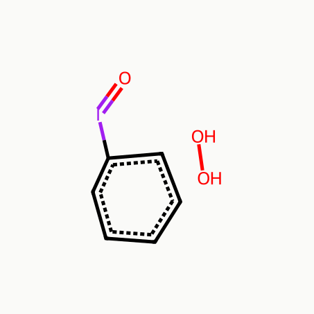 O=Ic1ccccc1.OO